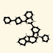 c1ccc(-c2ccc(-c3nc(-c4ccc5c(c4)c4c6sc7ccccc7c6ccc4n5-c4ccccc4)nc4ccccc34)cc2)cc1